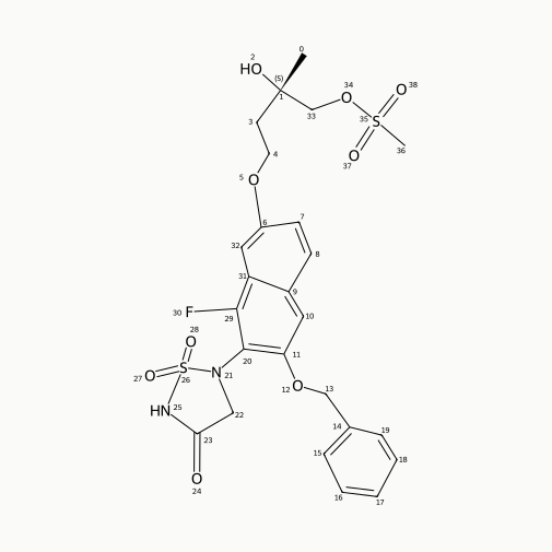 C[C@](O)(CCOc1ccc2cc(OCc3ccccc3)c(N3CC(=O)NS3(=O)=O)c(F)c2c1)COS(C)(=O)=O